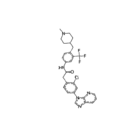 CN1CCC(Cc2ccc(NC(=O)Cc3ccc(-n4cnc5cccnc54)cc3Cl)cc2C(F)(F)F)CC1